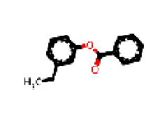 CCc1cccc(OC(=O)c2ccccc2)c1